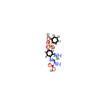 COC(=O)NC1=Nc2ccc(OS(=O)(=O)c3ccccc3OC)cc2NS1